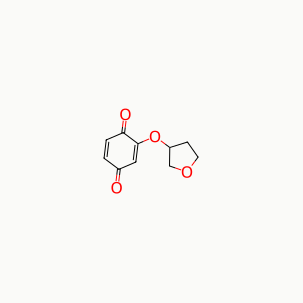 O=C1C=CC(=O)C(OC2CCOC2)=C1